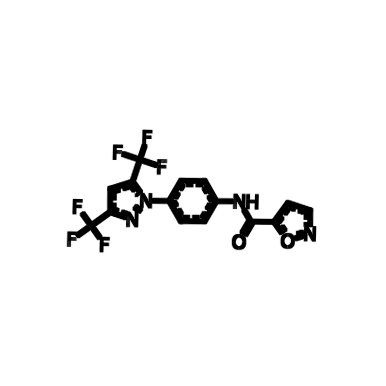 O=C(Nc1ccc(-n2nc(C(F)(F)F)cc2C(F)(F)F)cc1)c1ccno1